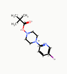 CC(C)(C)C(=O)ON1CCN(c2ccc(I)cn2)CC1